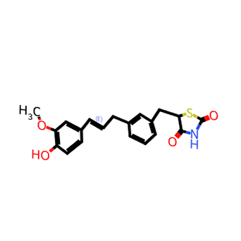 COc1cc(/C=C/Cc2cccc(CC3SC(=O)NC3=O)c2)ccc1O